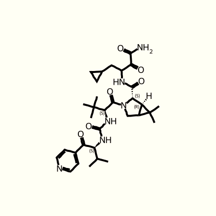 CC(C)[C@H](NC(=O)N[C@H](C(=O)N1CC2[C@@H]([C@H]1C(=O)NC(CC1CC1)C(=O)C(N)=O)C2(C)C)C(C)(C)C)C(=O)c1ccncc1